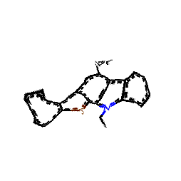 CCCc1cc2c3ccccc3sc2c2c1c1ccccc1n2C